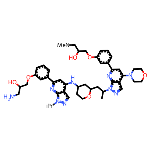 CNCC(O)COc1cccc(-c2cc(N3CCOCC3)c3cnn(C(C)CC4CC(Nc5cc(-c6cccc(OCC(O)CN)c6)nc6c5cnn6C(C)C)CCO4)c3n2)c1